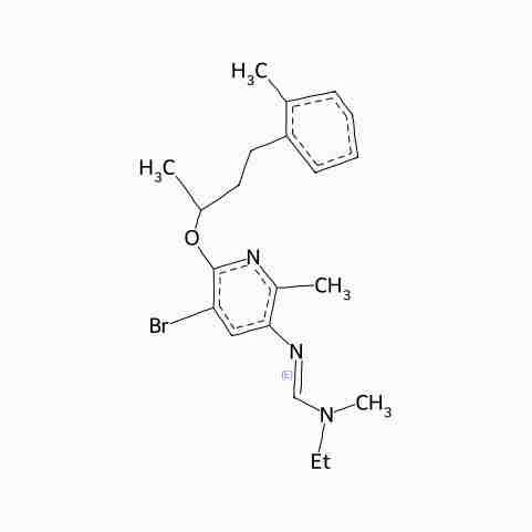 CCN(C)/C=N/c1cc(Br)c(OC(C)CCc2ccccc2C)nc1C